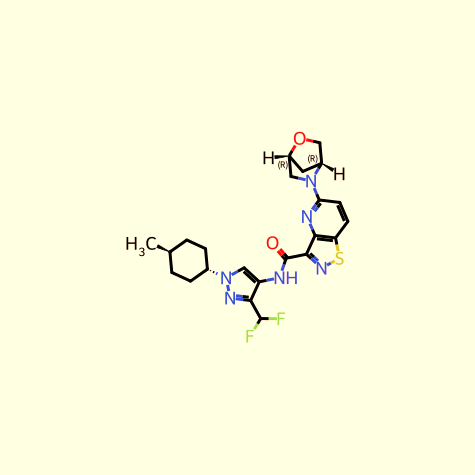 C[C@H]1CC[C@H](n2cc(NC(=O)c3nsc4ccc(N5C[C@H]6C[C@@H]5CO6)nc34)c(C(F)F)n2)CC1